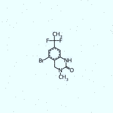 CN1Cc2c(Br)cc(C(C)(F)F)cc2NC1=O